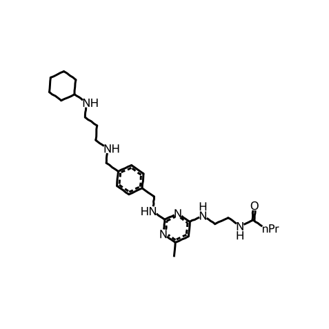 CCCC(=O)NCCNc1cc(C)nc(NCc2ccc(CNCCCNC3CCCCC3)cc2)n1